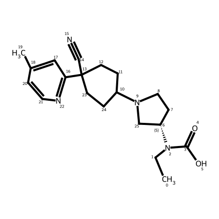 CCN(C(=O)O)[C@H]1CCN(C2CCC(C#N)(c3cc(C)ccn3)CC2)C1